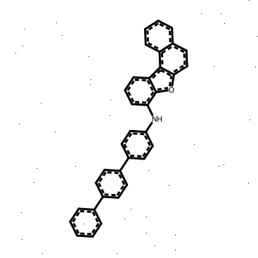 c1ccc(-c2ccc(-c3ccc(Nc4cccc5c4oc4ccc6ccccc6c45)cc3)cc2)cc1